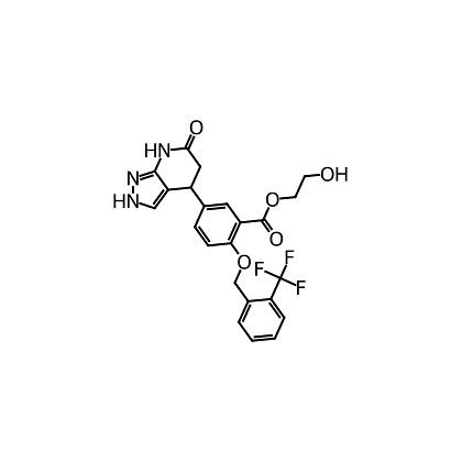 O=C1CC(c2ccc(OCc3ccccc3C(F)(F)F)c(C(=O)OCCO)c2)c2c[nH]nc2N1